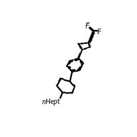 CCCCCCCC1CCC(c2ccc(C3CC(=C(F)F)C3)cc2)CC1